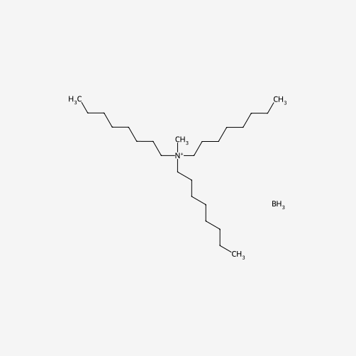 B.CCCCCCCC[N+](C)(CCCCCCCC)CCCCCCCC